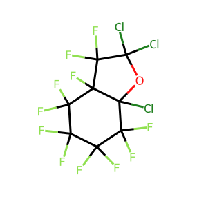 FC1(F)C(F)(F)C(F)(F)C2(F)C(F)(F)C(Cl)(Cl)OC2(Cl)C1(F)F